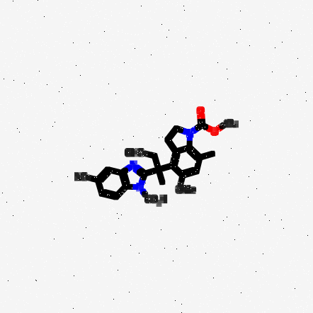 COc1cc(C)c2c(c1C(C)(CC=O)c1nc3cc(C#N)ccc3n1C(=O)O)CCN2C(=O)OC(C)(C)C